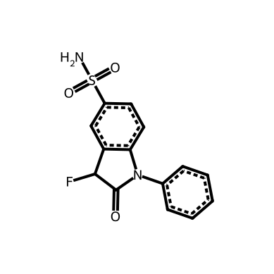 NS(=O)(=O)c1ccc2c(c1)C(F)C(=O)N2c1ccccc1